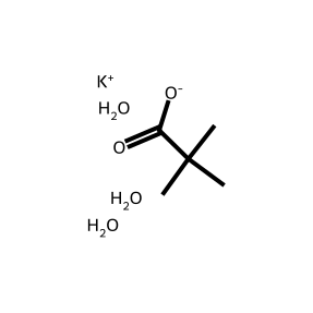 CC(C)(C)C(=O)[O-].O.O.O.[K+]